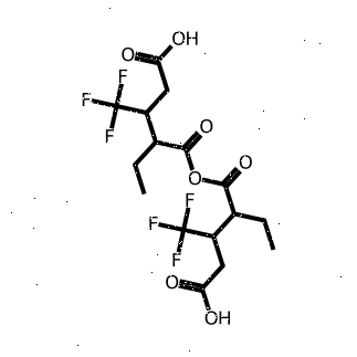 CCC(C(=O)OC(=O)C(CC)C(CC(=O)O)C(F)(F)F)C(CC(=O)O)C(F)(F)F